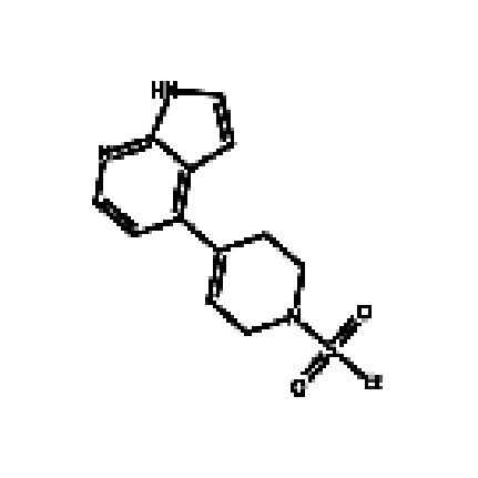 CCS(=O)(=O)N1CC=C(c2ccnc3[nH]ccc23)CC1